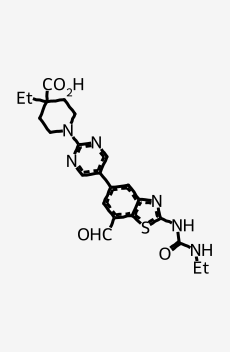 CCNC(=O)Nc1nc2cc(-c3cnc(N4CCC(CC)(C(=O)O)CC4)nc3)cc(C=O)c2s1